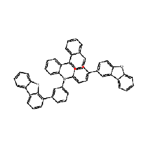 c1cc(-c2cccc3c2sc2ccccc23)cc(N(c2ccc(-c3ccc4oc5ccccc5c4c3)cc2)c2ccccc2-c2cccc3ccccc23)c1